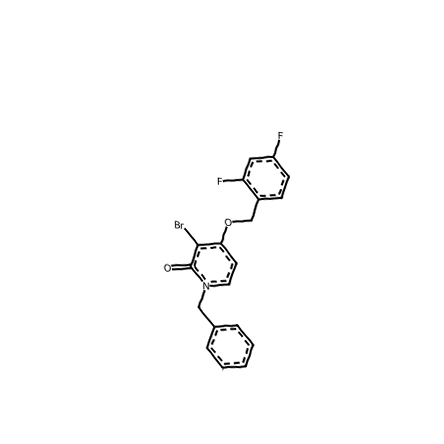 O=c1c(Br)c(OCc2ccc(F)cc2F)ccn1Cc1c[c]ccc1